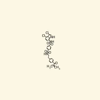 CN(C)C(=O)c1ccc(CCNS(=O)(=O)c2ccc(S(=O)(=O)Nc3ccc(Cl)c4c(Cl)c[nH]c34)cc2)cc1